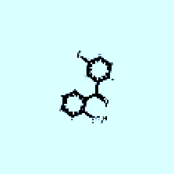 O=C(O)c1ccccc1C(=O)c1cccc(F)c1